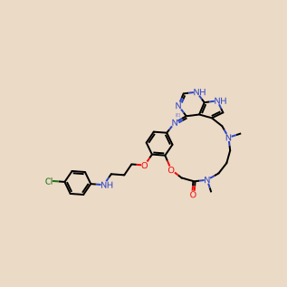 CN1CCCN(C)C(=O)COc2cc(ccc2OCCCNc2ccc(Cl)cc2)/N=C2/N=CNc3[nH]cc(c32)C1